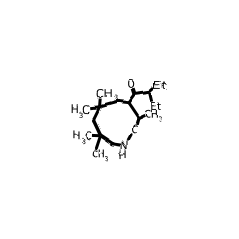 CCC(CC)C(=O)C1CC(C)(C)CC(C)(C)CNCC1C